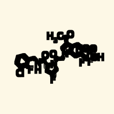 CC(=O)c1cn(CC(=O)N2C[C@H](F)C[C@H]2C(=O)NCc2cccc(Cl)c2F)c2cc(C(F)(F)P(=O)(O)O)ccc12